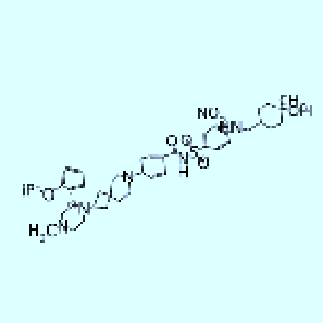 CC(C)Oc1ccccc1[C@H]1CN(C)CCN1C1CC2(CCN(c3ccc(C(=O)NS(=O)(=O)c4ccc(NCC5CCC(C)(O)CC5)c([N+](=O)[O-])c4)cc3)CC2)C1